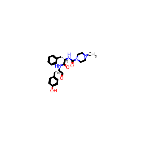 CN1CCN(C(=O)N[C@@H](Cc2ccccc2)C(=O)N[C@H](C=O)Cc2ccc(O)cc2)CC1